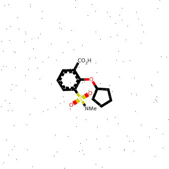 CNS(=O)(=O)c1cccc(C(=O)O)c1OC1CCCC1